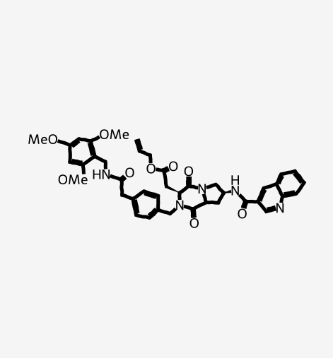 C=CCOC(=O)C[C@H]1C(=O)N2C[C@@H](NC(=O)c3cnc4ccccc4c3)CC2C(=O)N1Cc1ccc(CC(=O)NCc2c(OC)cc(OC)cc2OC)cc1